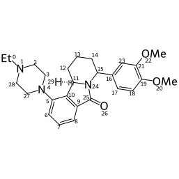 CCN1CCN(c2cccc3c2[C@H]2CCCC(c4ccc(OC)c(OC)c4)N2C3=O)CC1